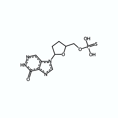 O=c1[nH]ncc2c1ncn2C1CCC(COP(O)(O)=S)O1